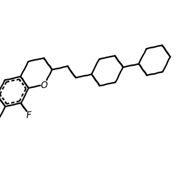 Fc1ccc2c(c1F)OC(CCC1CCC(C3CCCCC3)CC1)CC2